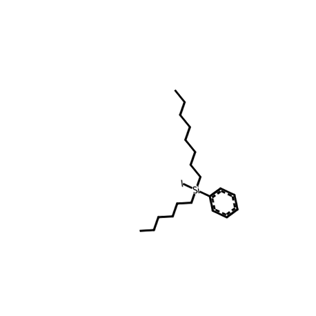 CCCCCCCC[Si](I)(CCCCCC)c1ccccc1